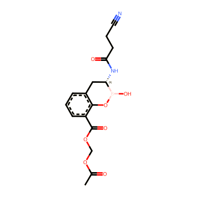 CC(=O)OCOC(=O)c1cccc2c1OB(O)[C@@H](NC(=O)CCC#N)C2